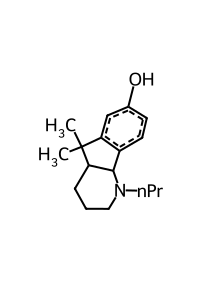 CCCN1CCCC2C1c1ccc(O)cc1C2(C)C